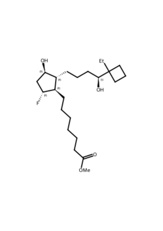 CCC1([C@@H](O)CCC[C@@H]2[C@@H](CCCCCCC(=O)OC)[C@H](F)C[C@H]2O)CCC1